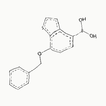 OB(O)c1ccc(OCc2ccccc2)c2sccc12